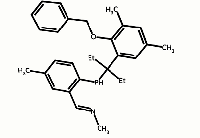 CCC(CC)(Pc1ccc(C)cc1/C=N/C)c1cc(C)cc(C)c1OCc1ccccc1